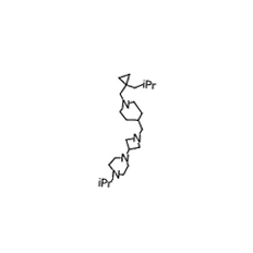 CC(C)CC1(CN2CCC(CN3CC(N4CCN(C(C)C)CC4)C3)CC2)CC1